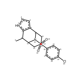 CC1c2[nH]ncc2C2CCCC1N2S(=O)(=O)c1ccc(Cl)cc1